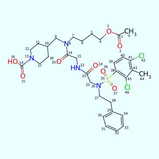 CC(=O)OCCCCN(CC1CCN(C(=O)O)CC1)C(=O)CNC(=O)CN(CCc1ccccc1)S(=O)(=O)c1ccc(Cl)c(C)c1Cl